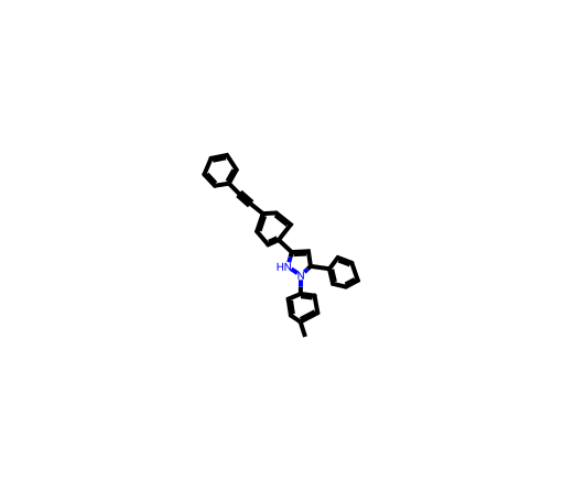 Cc1ccc(N2NC(c3ccc(C#Cc4ccccc4)cc3)=CC2c2ccccc2)cc1